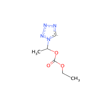 CCOC(=O)OC(C)n1[c]nnn1